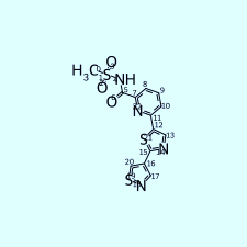 CS(=O)(=O)NC(=O)c1cccc(-c2cnc(-c3cnsc3)s2)n1